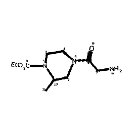 CCOC(=O)N1CCN(C(=O)CN)CC1C